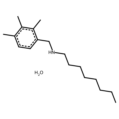 CCCCCCCCNCc1ccc(C)c(C)c1C.O